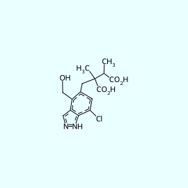 CC(C(=O)O)C(C)(Cc1cc(Cl)c2[nH]ncc2c1CO)C(=O)O